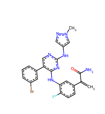 C=C(C(N)=O)c1ccc(F)c(Nc2nc(Nc3cnn(C)c3)ncc2-c2cccc(Br)c2)c1